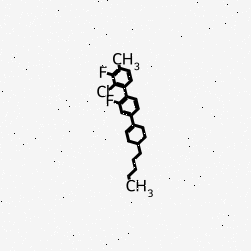 CCCCCC1CC=C(c2ccc(-c3ccc(C)c(F)c3Cl)c(F)c2)CC1